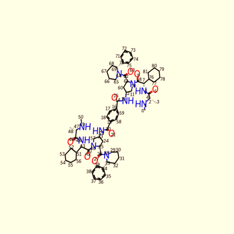 CN[C@@H](C)C(=O)N[C@H](C(=O)N1C[C@@H](NC(=O)c2ccc(C(=O)N[C@H]3C[C@@H](C(=O)N4CCCC[C@@H]4c4ccccc4)N(C(=O)[C@@H](NC(=O)[C@H](C)NC)C4CCCCC4)C3)cc2)C[C@H]1C(=O)N1CCCC[C@@H]1c1ccccc1)C1CCCCC1